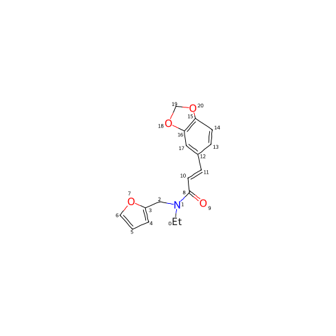 CCN(Cc1ccco1)C(=O)C=Cc1ccc2c(c1)OCO2